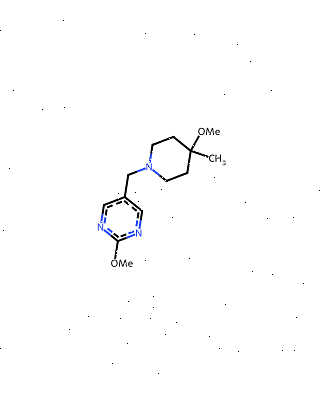 COc1ncc(CN2CCC(C)(OC)CC2)cn1